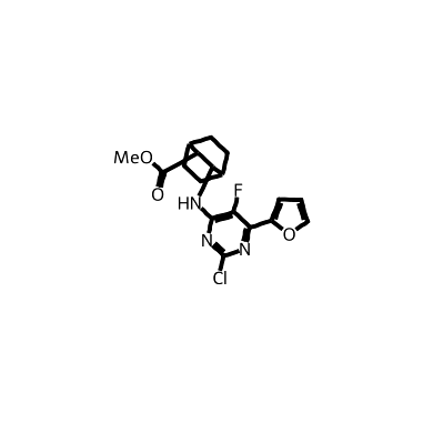 COC(=O)C1C2CCC(CC2)C1Nc1nc(Cl)nc(-c2ccco2)c1F